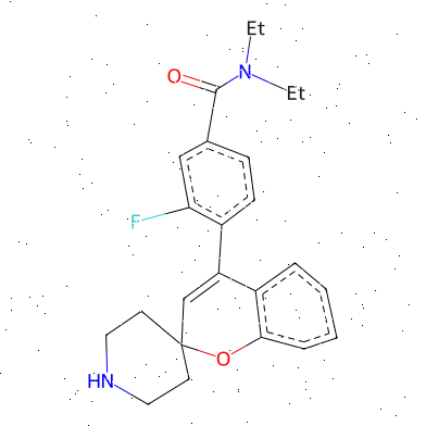 CCN(CC)C(=O)c1ccc(C2=CC3(CCNCC3)Oc3ccccc32)c(F)c1